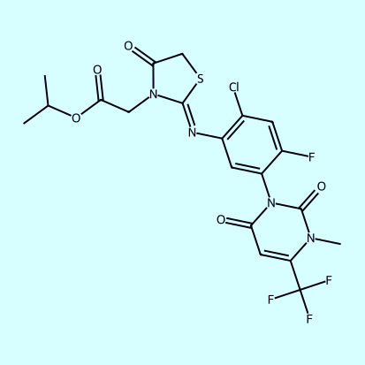 CC(C)OC(=O)CN1C(=O)CSC1=Nc1cc(-n2c(=O)cc(C(F)(F)F)n(C)c2=O)c(F)cc1Cl